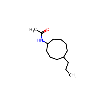 CCCC1CCCCC(NC(C)=O)CCC1